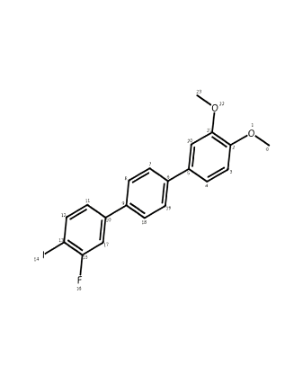 COc1ccc(-c2ccc(-c3ccc(I)c(F)c3)cc2)cc1OC